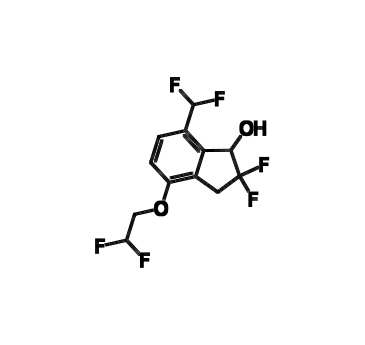 OC1c2c(C(F)F)ccc(OCC(F)F)c2CC1(F)F